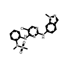 CN(c1ccccc1Nc1nc(Nc2ccc3cnn(C)c3c2)ncc1Cl)S(C)(=O)=O